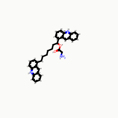 NCC(=O)OC(CCCCCCc1cccc2nc3ccccc3cc12)c1cccc2nc3ccccc3cc12